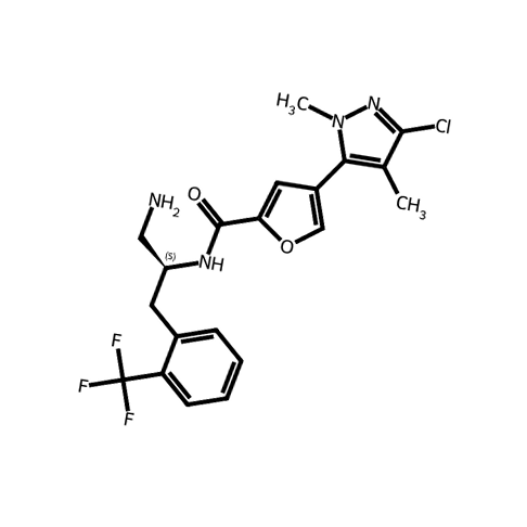 Cc1c(Cl)nn(C)c1-c1coc(C(=O)N[C@H](CN)Cc2ccccc2C(F)(F)F)c1